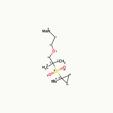 CNCCOCC(C)(C)S(=O)(=O)C1(C(C)(C)C)CC1